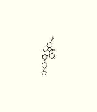 N#CC1C=Cc2c([nH]c3c2C(=O)c2ccc(N4CCC(N5CCCC5)CC4)cc2C32CCOCC2)C1